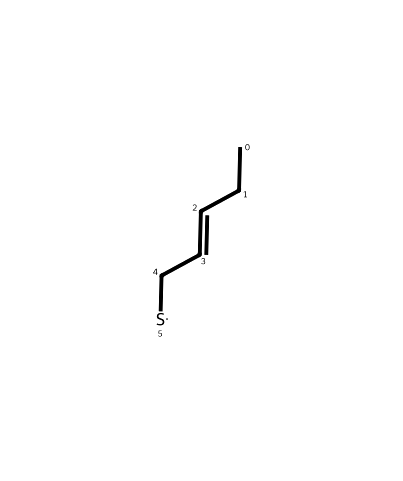 CCC=CC[S]